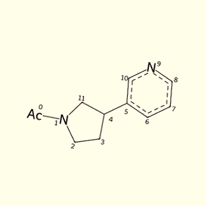 [CH2]C(=O)N1CCC(c2cccnc2)C1